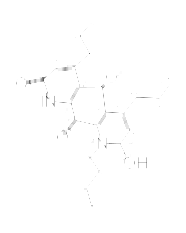 CCCCN1C2=C(C(=O)c3c(CCC)cc(=O)[nH]c3C2=O)C(CCC)=CC1O